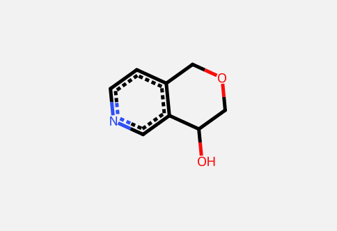 OC1COCc2ccncc21